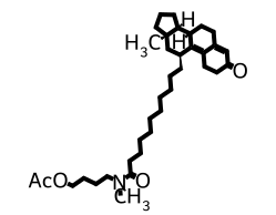 CC(=O)OCCCCN(C)C(=O)CCCCCCCCCC[C@H]1C[C@]2(C)CCC[C@H]2[C@@H]2CCC3=CC(=O)CCC3=C12